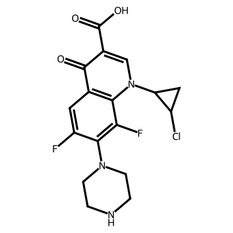 O=C(O)c1cn(C2CC2Cl)c2c(F)c(N3CCNCC3)c(F)cc2c1=O